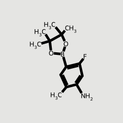 Cc1cc(B2OC(C)(C)C(C)(C)O2)c(F)cc1N